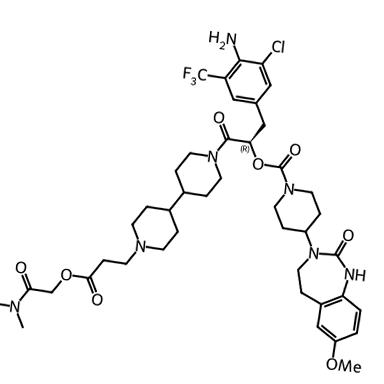 COc1ccc2c(c1)CCN(C1CCN(C(=O)O[C@H](Cc3cc(Cl)c(N)c(C(F)(F)F)c3)C(=O)N3CCC(C4CCN(CCC(=O)OCC(=O)N(C)C)CC4)CC3)CC1)C(=O)N2